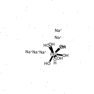 [Na+].[Na+].[Na+].[Na+].[Na+].[OH][Fe-5]([OH])([OH])([OH])([OH])([OH])([OH])[OH]